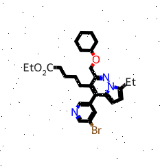 CCOC(=O)CCCCc1c(COC2CCCCC2)nn2c(CC)ccc2c1-c1cncc(Br)c1